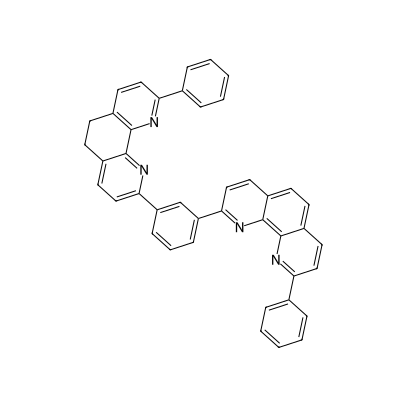 c1ccc(-c2ccc3c(n2)-c2nc(-c4cccc(-c5ccc6ccc7ccc(-c8ccccc8)nc7c6n5)c4)ccc2CC3)cc1